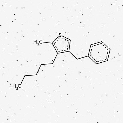 CCCCCc1c(Cc2ccccc2)csc1C